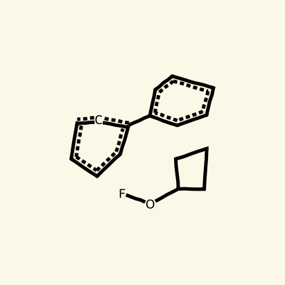 FOC1CCC1.c1ccc(-c2ccccc2)cc1